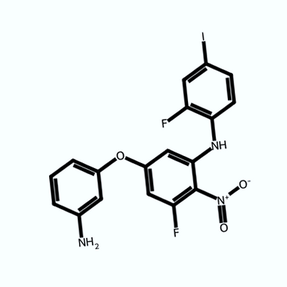 Nc1cccc(Oc2cc(F)c([N+](=O)[O-])c(Nc3ccc(I)cc3F)c2)c1